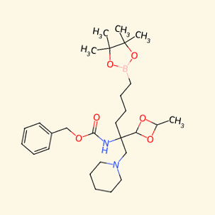 CC1OC(C(CCCCB2OC(C)(C)C(C)(C)O2)(CN2CCCCC2)NC(=O)OCc2ccccc2)O1